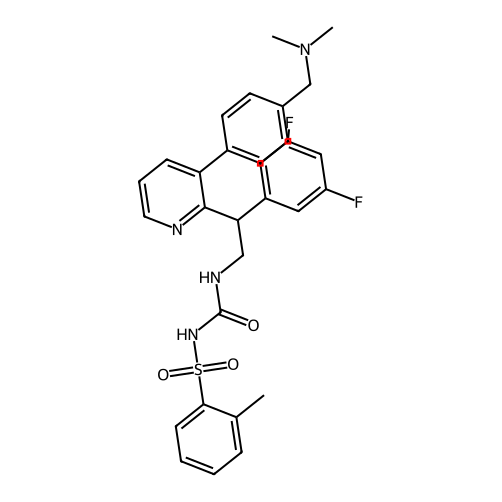 Cc1ccccc1S(=O)(=O)NC(=O)NCC(c1cc(F)cc(F)c1)c1ncccc1-c1ccc(CN(C)C)cc1